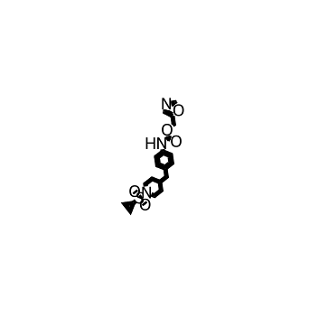 O=C(Nc1ccc(CC2CCN(S(=O)(=O)C3CC3)CC2)cc1)OCc1cnco1